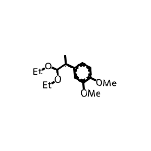 CCOC(OCC)[C](C)c1ccc(OC)c(OC)c1